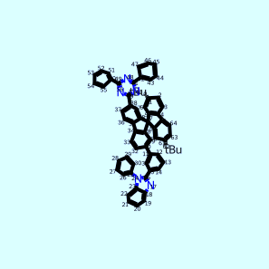 CC(C)(C)c1ccc2c(c1)C1(c3cc(-c4cccc(-c5nc6ccccc6n5-c5ccccc5)c4)ccc3-c3ccc(-c4nc(-c5ccccc5)nc(-c5ccccc5)n4)cc31)c1cc(C(C)(C)C)ccc1-2